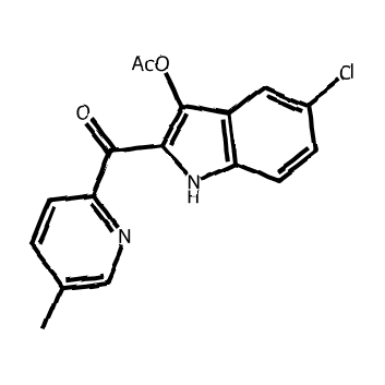 CC(=O)Oc1c(C(=O)c2ccc(C)cn2)[nH]c2ccc(Cl)cc12